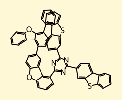 c1ccc(-c2ccc(-c3ccc4oc5cccc(-c6nc(-c7ccc8c(c7)sc7ccccc78)nc(-c7ccc8c(c7)sc7ccccc78)n6)c5c4c3)c3c2oc2ccccc23)cc1